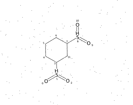 O=[SH](=O)C1CCCC([SH](=O)=O)C1